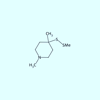 CSSC1(C)CCN(C)CC1